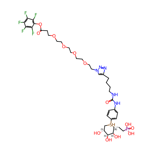 O=C(NCCCCc1cn(CCOCCOCCOCCOCCC(=O)Oc2c(F)c(F)c(F)c(F)c2F)nn1)Nc1ccc([SH]2C[C@@H](O)[C@H](O)[C@H](O)[C@H]2CCP(=O)(O)O)cc1